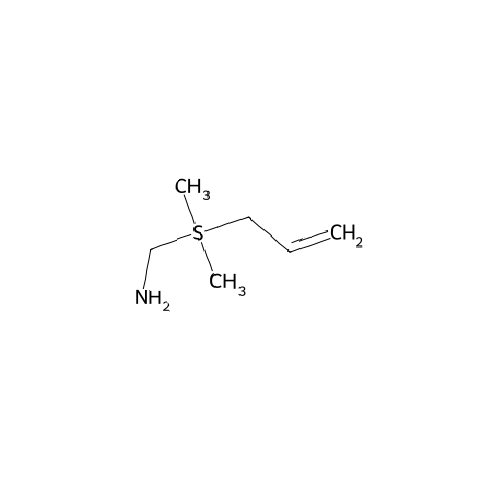 C=CCS(C)(C)CN